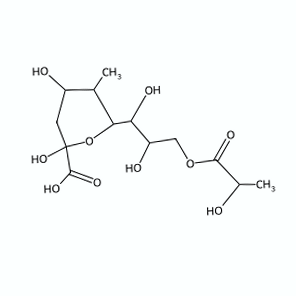 CC(O)C(=O)OCC(O)C(O)C1OC(O)(C(=O)O)CC(O)C1C